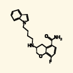 NC(=O)c1ccc(F)c2c1CC(NCCCCn1ccc3ccccc31)CO2